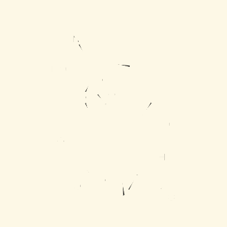 CC[C@H]1OC(=O)[C@H](C)C(=O)[C@H](C)[C@@H](O[C@@H]2O[C@H](C)C[C@H](N(C)C)[C@H]2O)[C@](C)(OC)C[C@@H](C)C(=O)[C@H](C)[C@H]2CC(=O)C[C@@]21C